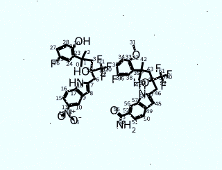 CC(C)(CC(O)(Cc1cc2cc([N+](=O)[O-])ccc2[nH]1)C(F)(F)F)c1cc(F)ccc1O.COc1ccc(F)cc1C(C)(C)CC(O)(Cc1cc2ccc(C(N)=O)cc2[nH]1)C(F)(F)F